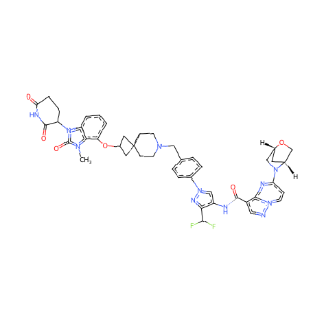 Cn1c(=O)n(C2CCC(=O)NC2=O)c2cccc(OC3CC4(CCN(Cc5ccc(-n6cc(NC(=O)c7cnn8ccc(N9C[C@H]%10C[C@@H]9CO%10)nc78)c(C(F)F)n6)cc5)CC4)C3)c21